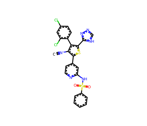 [C-]#[N+]c1c(-c2ccnc(NS(=O)(=O)c3ccccc3)c2)sc(-c2nnc[nH]2)c1-c1ccc(Cl)cc1Cl